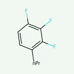 C[CH]Cc1ccc(F)c(F)c1F